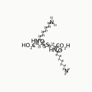 CN(C)CCCCCCCC(=O)NC(CCSSCCC(NC(=O)CCCCCCCN(C)C)C(=O)O)C(=O)O